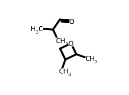 CC(C)C=O.CC1COC1C